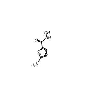 Nc1ncc(C(=O)NO)s1